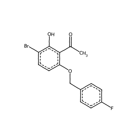 CC(=O)c1c(OCc2ccc(F)cc2)ccc(Br)c1O